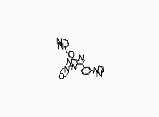 c1cc(C2=c3nc(N4CCOCC4)nc(OCc4cccnn4)c3=NC2)cc(-n2cccn2)c1